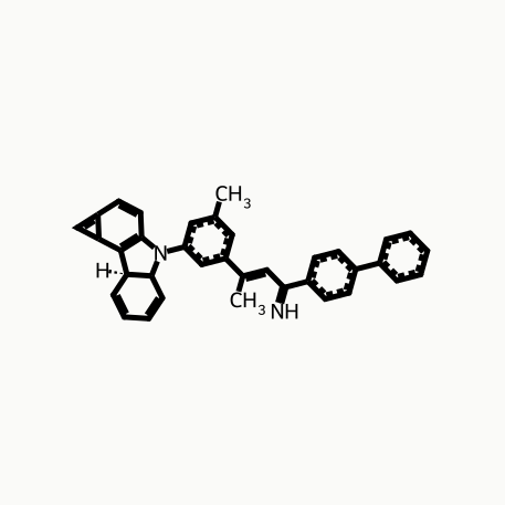 C/C(=C\C(=N)c1ccc(-c2ccccc2)cc1)c1cc(C)cc(N2C3=C(C4C=C4C=C3)[C@@H]3C=CC=CC32)c1